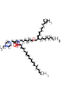 CCCCCCCCCCCCCCCCCC(=O)N(CCCCCCOCC(CCCCCCC)CCCCCCCCC)CC(O)CN1CCN(C)CC1